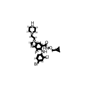 O=C(NOCC1CC1)c1cc2c(ncn2CCN2CCNCC2)c(F)c1Nc1ccc(Br)cc1Cl